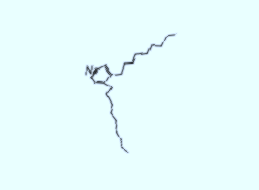 CCCCCCCCCc1ccccc1CCCCCCCCC.[Na]